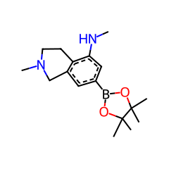 CNc1cc(B2OC(C)(C)C(C)(C)O2)cc2c1CCN(C)C2